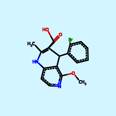 COc1nccc2c1C(c1ccccc1Br)C(C(=O)O)=C(C)N2